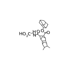 CC1C(C)C2CC1C1C3CC(C(C(=O)OC4C5CC6CC(C5)CC4C6)C3C(=O)NCC(=O)O)C21